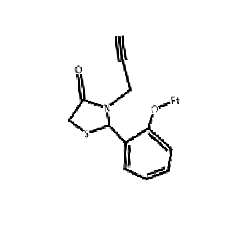 C#CCN1C(=O)CSC1c1ccccc1OCC